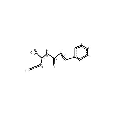 O=C(/C=C/c1ccccc1)NC(N=C=S)C(Cl)(Cl)Cl